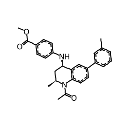 COC(=O)c1ccc(N[C@@H]2C[C@H](C)N(C(C)=O)c3ccc(-c4cccc(C)c4)cc32)cc1